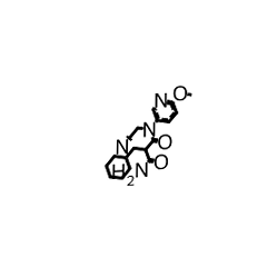 COc1ccc(N(CC#N)C(=O)C(CC2CCCCC2)C(N)=O)cn1